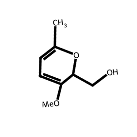 COC1=CC=C(C)OC1CO